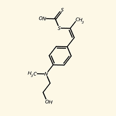 C/C(=C/c1ccc(N(C)CCO)cc1)SC(=S)N=O